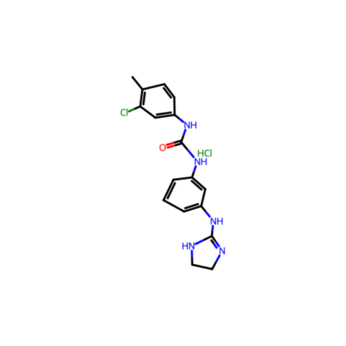 Cc1ccc(NC(=O)Nc2cccc(NC3=NCCN3)c2)cc1Cl.Cl